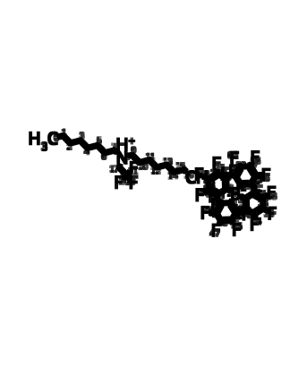 CCCCCCCC[NH+](CCCCCCCC)CC(F)(F)F.Fc1c(F)c(F)c([B-](c2c(F)c(F)c(F)c(F)c2F)(c2c(F)c(F)c(F)c(F)c2F)c2c(F)c(F)c(F)c(F)c2F)c(F)c1F